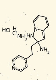 Cl.Cl.N.NC1(CCc2ccncc2)C=C2C=CC=CN2N1